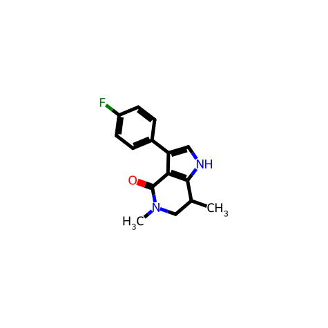 CC1CN(C)C(=O)c2c(-c3ccc(F)cc3)c[nH]c21